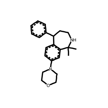 CC1(C)NCCC(c2ccccc2)c2ccc(N3CCOCC3)cc21